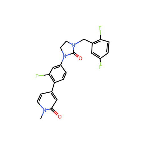 Cn1ccc(-c2ccc(N3CCN(Cc4cc(F)ccc4F)C3=O)cc2F)cc1=O